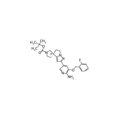 CC(C)(C)OC(=O)N1CC[C@@]2(CCn3nc(-c4cnc(N)c(OCc5ccccc5F)c4)cc32)C1